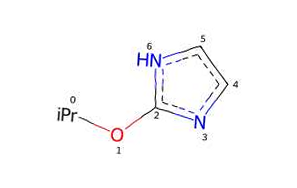 CC(C)Oc1ncc[nH]1